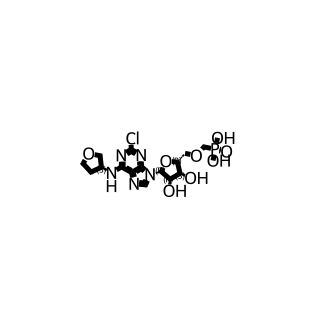 O=P(O)(O)COC[C@H]1O[C@@H](n2cnc3c(N[C@H]4CCOC4)nc(Cl)nc32)[C@H](O)[C@@H]1O